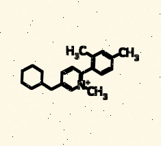 Cc1ccc(-c2ccc(CC3CCCCC3)c[n+]2C)c(C)c1